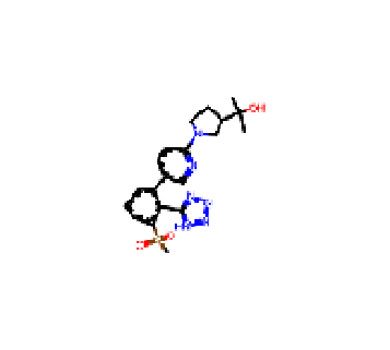 CC(C)(O)C1CCN(c2ccc(-c3cccc(S(C)(=O)=O)c3-c3nnn[nH]3)cn2)C1